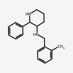 Cc1ccccc1CNC1CCCNC1c1ccccc1